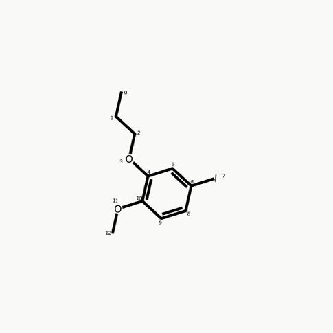 CCCOc1cc(I)ccc1OC